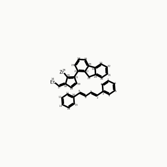 C(C=Cc1ccccc1)=Cc1ccccc1.CCC=C1C=CC(c2cccc3c2Cc2ccccc2-3)=[C]1[Zr]